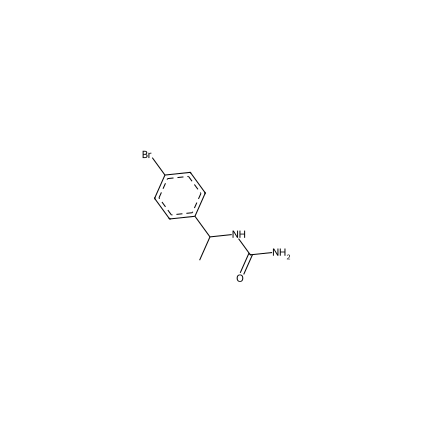 CC(NC(N)=O)c1ccc(Br)cc1